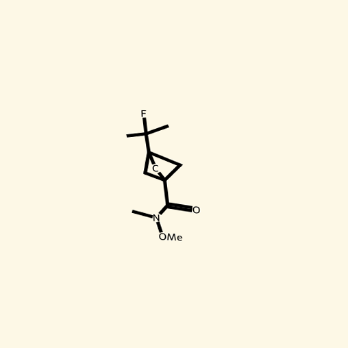 CON(C)C(=O)C12CC(C(C)(C)F)(C1)C2